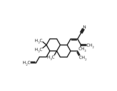 C=CCCC1C(C)(C)CCC2C(/C=C(/C#N)C(=C)C)C(C=C)CCC21C